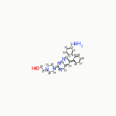 NCc1ccc(-c2nc3nc(N4CCN(CCO)CC4)ncc3cc2-c2ccccc2)cc1